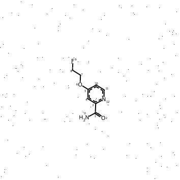 NC(=O)c1cc(OCCF)ccn1